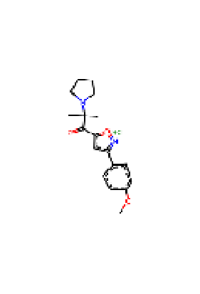 COc1ccc(-c2cc(C(=O)C(C)(C)N3CCCC3)on2)cc1.Cl